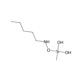 CCCCCNO[Si](C)(O)O